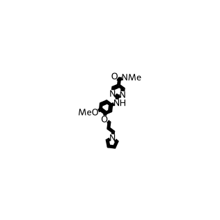 CNC(=O)c1cnc(Nc2ccc(OC)c(OCCCN3CCCC3)c2)nc1